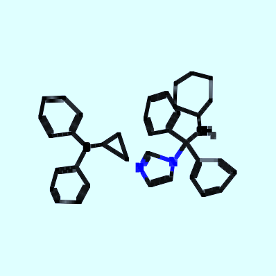 c1ccc(B(c2ccccc2)C2CC2)cc1.c1ccc(C([SiH2]C2CCCCC2)(c2ccccc2)n2ccnc2)cc1